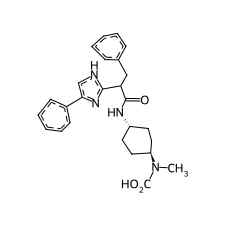 CN(C(=O)O)[C@H]1CC[C@H](NC(=O)C(Cc2ccccc2)c2nc(-c3ccccc3)c[nH]2)CC1